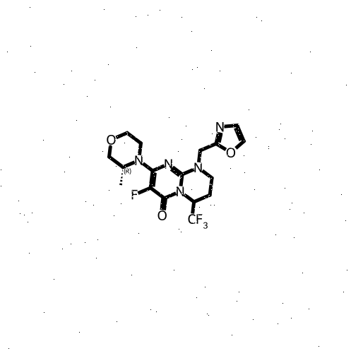 C[C@@H]1COCCN1c1nc2n(c(=O)c1F)C(C(F)(F)F)CCN2Cc1ncco1